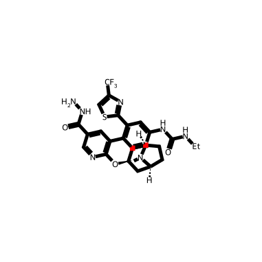 CCNC(=O)Nc1cc(-c2nc(C(F)(F)F)cs2)c(-c2cc(C(=O)NN)cnc2O[C@H]2C[C@H]3CC[C@@H](C2)N3C)cn1